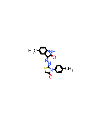 Cc1ccc(N2C(=O)CSC2=NN=C2C(=O)Nc3ccc(C)cc32)cc1